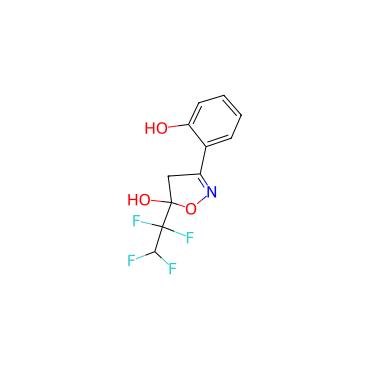 Oc1ccccc1C1=NOC(O)(C(F)(F)C(F)F)C1